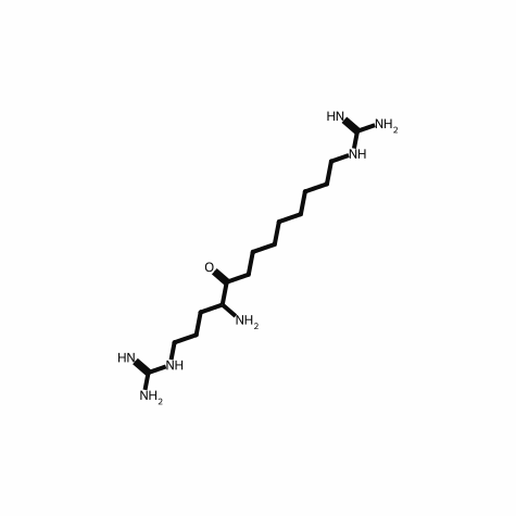 N=C(N)NCCCCCCCCC(=O)C(N)CCCNC(=N)N